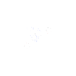 Nc1nc(-c2ccco2)cn2nc(-c3ccco3)nc12